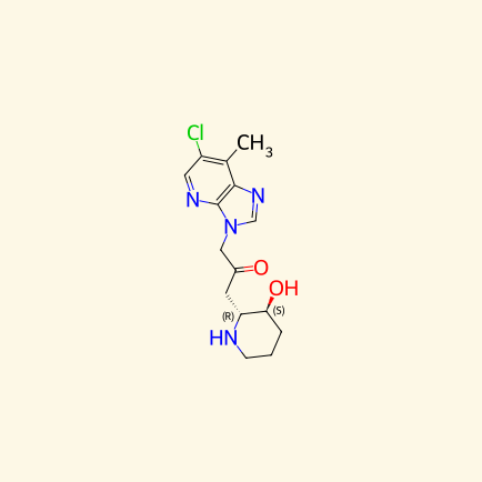 Cc1c(Cl)cnc2c1ncn2CC(=O)C[C@H]1NCCC[C@@H]1O